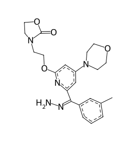 Cc1cccc(C(=NN)c2cc(N3CCOCC3)cc(OCCN3CCOC3=O)n2)c1